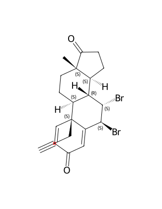 C#CC[C@]12C=CC(=O)C=C1[C@H](Br)[C@@H](Br)[C@H]1[C@@H]3CCC(=O)[C@@]3(C)CC[C@@H]12